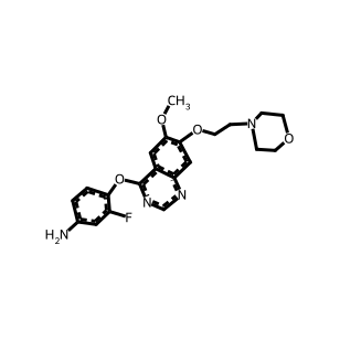 COc1cc2c(Oc3ccc(N)cc3F)ncnc2cc1OCCN1CCOCC1